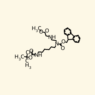 COC(=O)CNCCN(CCCCCCNC(=O)OC(C)(C)C)C(=O)OCC1c2ccccc2-c2ccccc21